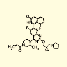 C=CC(=O)N1CCN(c2nc(OCC3(CN4CCCC4)CC3)nc3nc(-c4[nH]c(=O)cc5cccc(F)c45)c(F)cc23)[C@@H](C)C1